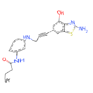 CC(C)CCC(=O)Nc1cccc(NCC#Cc2cc(O)c3nc(N)sc3c2)c1